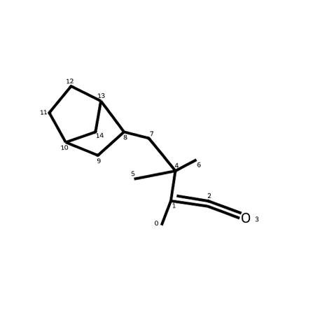 CC(=C=O)C(C)(C)CC1CC2CCC1C2